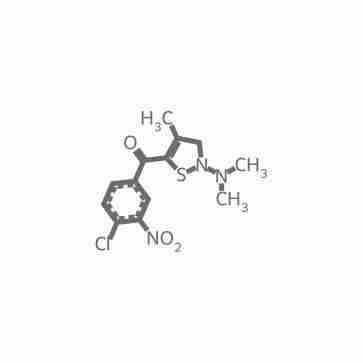 CC1=C(C(=O)c2ccc(Cl)c([N+](=O)[O-])c2)SN(N(C)C)C1